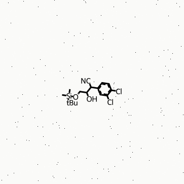 CC(C)(C)[Si](C)(C)OCC(O)C(C#N)c1ccc(Cl)c(Cl)c1